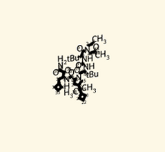 C[C@@H]1CN(C(=O)[C@@H](NC(=O)NC(C(=O)N2CC(C(C)(C)C3CCC3)C[C@H]2C(=O)NC(CC2CCC2)C(=O)C(N)=O)C(C)(C)C)C(C)(C)C)C[C@H](C)O1